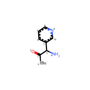 CC(C)(C)C(=O)C(N)c1cccnc1